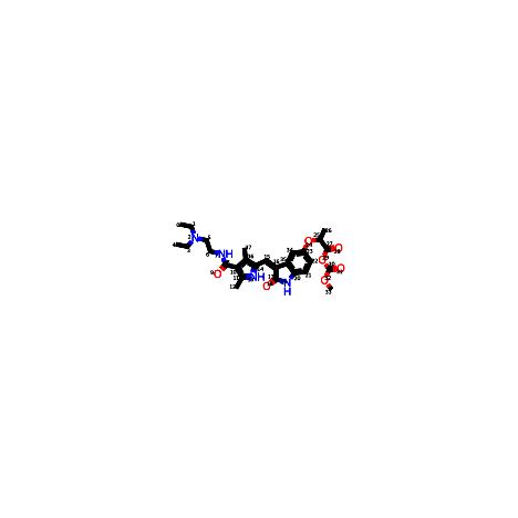 CCN(CC)CCNC(=O)c1c(C)[nH]c(/C=C2\C(=O)Nc3ccc(OC(C)C(=O)OC(=O)OC)cc32)c1C